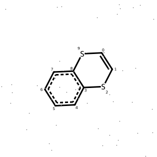 [C]1=CSc2ccccc2S1